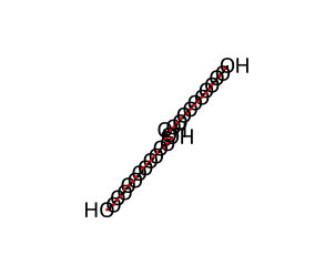 OCCOCCOCCOCCOCCOCCOCCOCCOCCOCCOCCOC(CO)SC(CO)OCCOCCOCCOCCOCCOCCOCCOCCOCCOCCOCCO